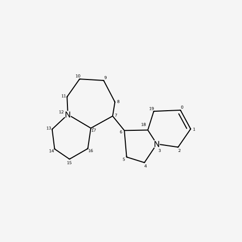 C1=CCN2CCC(C3CCCCN4CCCC[C]34)C2C1